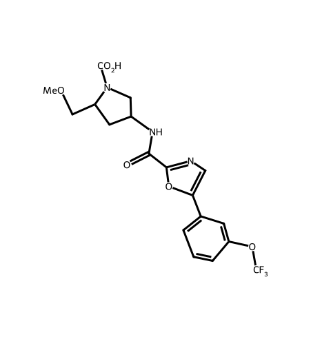 COCC1CC(NC(=O)c2ncc(-c3cccc(OC(F)(F)F)c3)o2)CN1C(=O)O